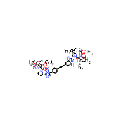 COC(=O)N[C@H](C(=O)N1C[Si](C)(C)C[C@H]1c1nc2cc(C#Cc3ccc(-c4cnc([C@@H]5CCCN5C(=O)[C@@H](NC(=O)OC)C(C)OC)[nH]4)cc3)ccc2[nH]1)C(C)C